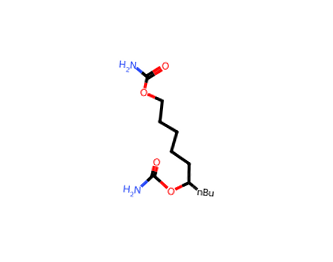 CCCCC(CCCCCOC(N)=O)OC(N)=O